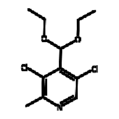 CCOC(OCC)c1c(Cl)cnc(C)c1Cl